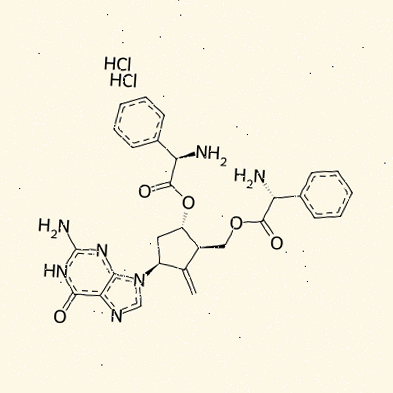 C=C1[C@H](COC(=O)[C@H](N)c2ccccc2)[C@@H](OC(=O)[C@H](N)c2ccccc2)C[C@@H]1n1cnc2c(=O)[nH]c(N)nc21.Cl.Cl